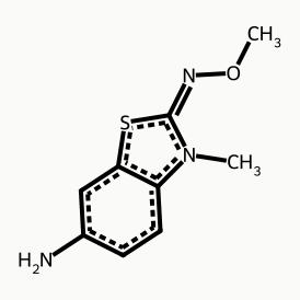 CON=c1sc2cc(N)ccc2n1C